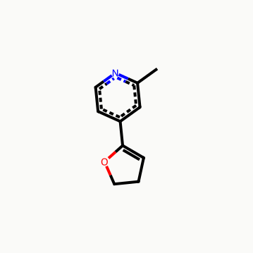 Cc1cc(C2=CCCO2)ccn1